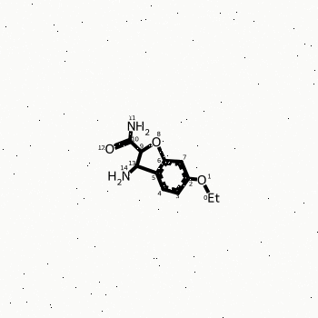 CCOc1ccc2c(c1)OC(C(N)=O)C2N